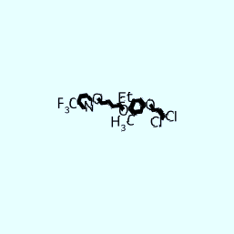 CCc1cc(OCC=C(Cl)Cl)cc(C)c1OCCCCOc1ccc(C(F)(F)F)cn1